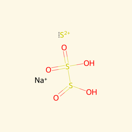 O=S(O)S(=O)(=O)O.[Na+].[S+2]